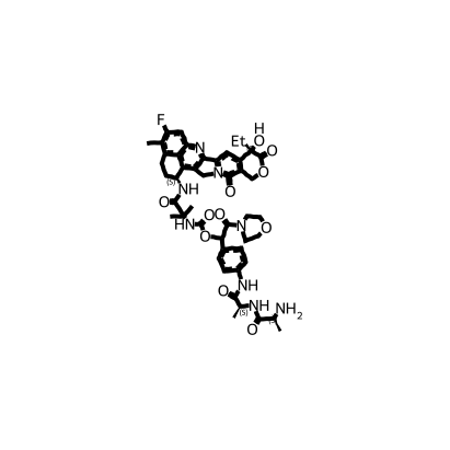 CC[C@@]1(O)C(=O)OCc2c1cc1n(c2=O)Cc2c-1nc1cc(F)c(C)c3c1c2[C@@H](NC(=O)C(C)(C)NC(=O)OC(C(=O)N1CCOCC1)c1ccc(NC(=O)[C@H](C)NC(=O)[C@H](C)N)cc1)CC3